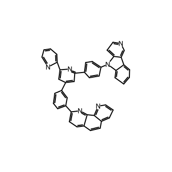 c1ccc(-c2cc(-c3cccc(-c4ccc5ccc6cccnc6c5n4)c3)cc(-c3ccc(-n4c5ccccc5c5cnccc54)cc3)n2)nc1